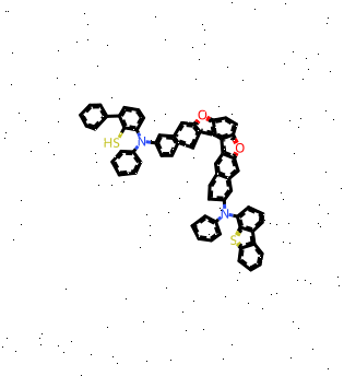 Sc1c(-c2ccccc2)cccc1N(c1ccccc1)c1ccc2cc3c(cc2c1)oc1ccc2oc4cc5cc(N(c6ccccc6)c6cccc7c6sc6ccccc67)ccc5cc4c2c13